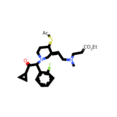 CCOC(=O)CCN(C)CC=C1CN(C(C(=O)C2CC2)c2ccccc2F)CCC1SC(C)=O